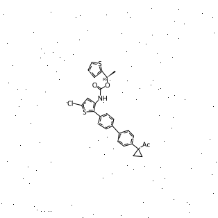 CC(=O)C1(c2ccc(-c3ccc(-c4sc(Cl)cc4NC(=O)O[C@H](C)c4cccs4)cc3)cc2)CC1